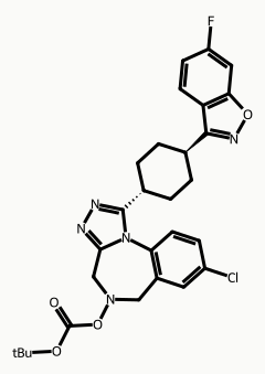 CC(C)(C)OC(=O)ON1Cc2cc(Cl)ccc2-n2c(nnc2[C@H]2CC[C@H](c3noc4cc(F)ccc43)CC2)C1